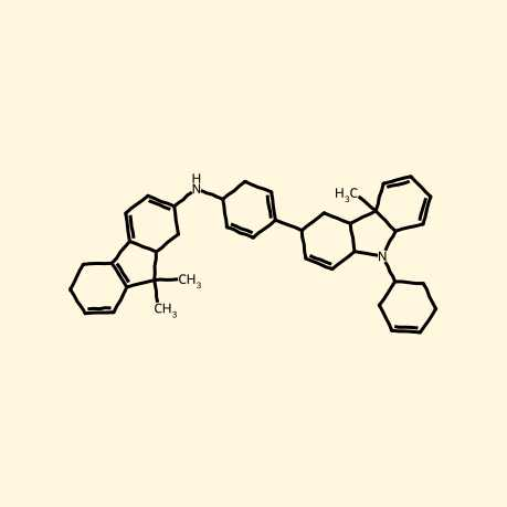 CC1(C)C2=C(CCC=C2)C2=CC=C(NC3C=CC(C4C=CC5C(C4)C4(C)C=CC=CC4N5C4CC=CCC4)=CC3)CC21